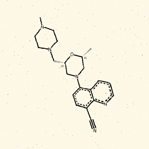 C[C@@H]1CN(c2ccc(C#N)c3ncccc23)C[C@H](CN2CCN(C)CC2)O1